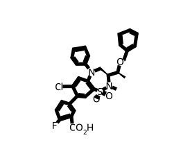 C[C@H](OCc1ccccc1)[C@@H]1CN(c2ccccc2)c2cc(Cl)c(-c3ccc(F)c(C(=O)O)c3)cc2S(=O)(=O)N1C